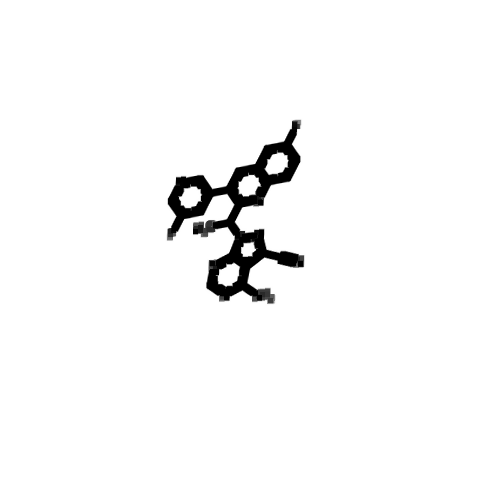 CC(c1nc2ccc(F)cc2cc1-c1cncc(F)c1)n1nc(C#N)c2c(N)ncnc21